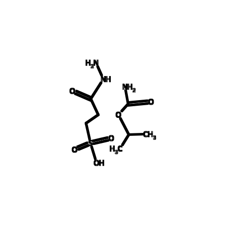 CC(C)OC(N)=O.NNC(=O)CCS(=O)(=O)O